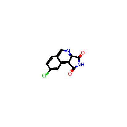 O=C1NC(=O)c2c1ncc1ccc(Cl)cc21